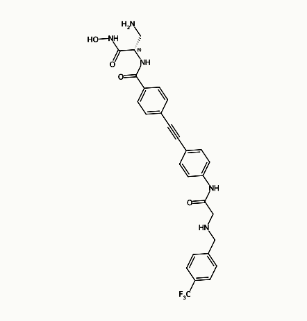 NC[C@H](NC(=O)c1ccc(C#Cc2ccc(NC(=O)CNCc3ccc(C(F)(F)F)cc3)cc2)cc1)C(=O)NO